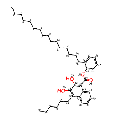 CCCCCCCCCCCCCCCCc1ccccc1OC(=O)c1c(O)c(O)c(CCCCCC)c2ccccc12